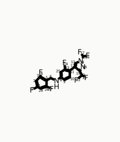 Fc1cc(F)c(CNc2ccc(-c3cn(C(F)F)nc3C(F)F)c(F)c2)c(F)c1